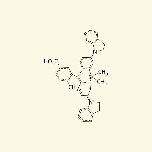 Cc1ccc(C(=O)O)cc1C1=C2C=C/C(=[N+]3/CCc4ccccc43)C=C2[Si](C)(C)c2cc(N3CCc4ccccc43)ccc21